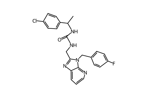 CC(NC(=O)NCc1nc2cccnc2n1Cc1ccc(F)cc1)c1ccc(Cl)cc1